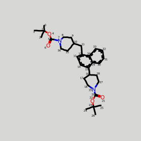 CC(C)(C)OC(=O)N1CCC(Cc2ccc(C3CCN(C(=O)OC(C)(C)C)CC3)c3ccccc23)CC1